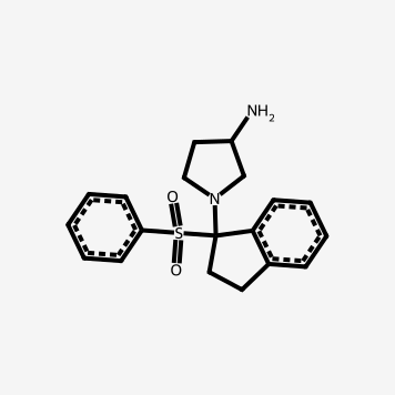 NC1CCN(C2(S(=O)(=O)c3ccccc3)CCc3ccccc32)C1